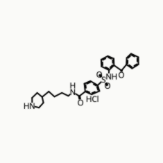 Cl.O=C(NCCCCC1CCNCC1)c1ccc(S(=O)(=O)Nc2ccccc2C(=O)c2ccccc2)cc1